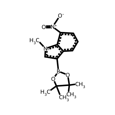 Cn1cc(B2OC(C)(C)C(C)(C)O2)c2cccc([N+](=O)[O-])c21